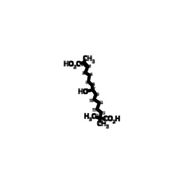 C/C(=C/CCCCC(O)CCCCCC(C)(C)C(=O)O)C(=O)O